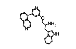 NC(COc1cncc(-c2cccc3cnccc23)c1)Cc1c[nH]c2ccccc12